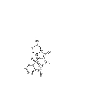 C[C@H]1C(=O)N2C[C@@H](O)CCC2N1S(=O)(=O)c1ccccc1[N+](=O)[O-]